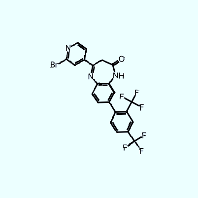 O=C1CC(c2ccnc(Br)c2)=Nc2ccc(-c3ccc(C(F)(F)F)cc3C(F)(F)F)cc2N1